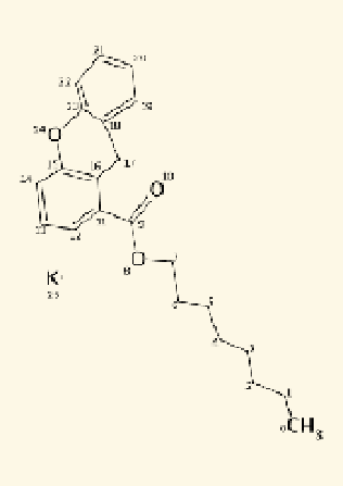 CCCCCCCCOC(=O)c1cccc2c1Cc1ccccc1O2.[K]